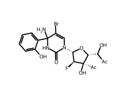 CC(=O)C(O)[C@H]1O[C@@H](N2C=C(Br)C(N)(c3ccccc3O)NC2=O)[C@H](F)[C@@]1(O)C(C)=O